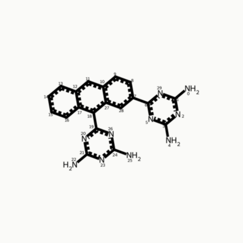 Nc1nc(N)nc(-c2ccc3cc4ccccc4c(-c4nc(N)nc(N)n4)c3c2)n1